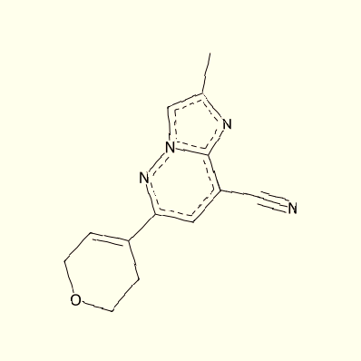 Cc1cn2nc(C3=CCOCC3)cc(C#N)c2n1